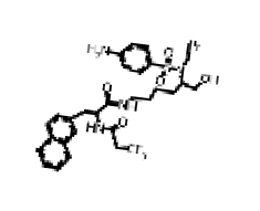 CC(C)CN(C(CO)CCCCNC(=O)C(Cc1ccc2ccccc2c1)NC(=O)CC(F)(F)F)S(=O)(=O)c1ccc(N)cc1